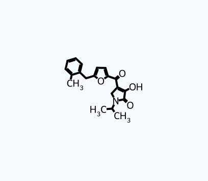 Cc1ccccc1Cc1ccc(C(=O)C2=C(O)C(=O)N(C(C)C)C2)o1